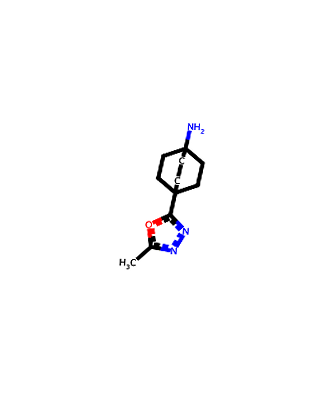 Cc1nnc(C23CCC(N)(CC2)CC3)o1